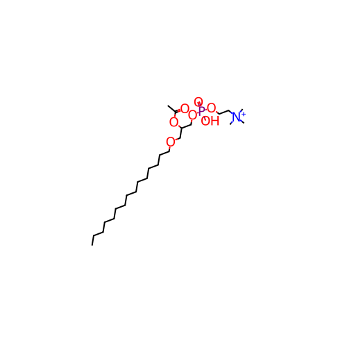 CCCCCCCCCCCCCCCOCC(COP(=O)(O)OCC[N+](C)(C)C)OC(C)=O